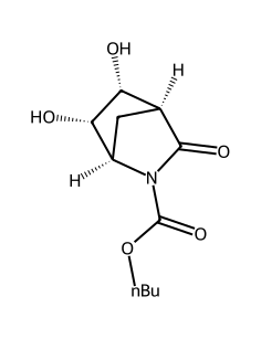 CCCCOC(=O)N1C(=O)[C@H]2C[C@@H]1[C@H](O)[C@@H]2O